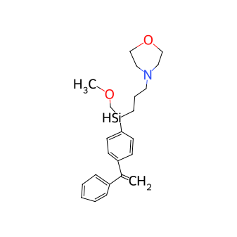 C=C(c1ccccc1)c1ccc([SiH](CCCN2CCOCC2)COC)cc1